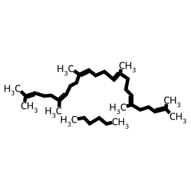 CC(C)=CCCC(C)=CCCC(C)=CCCC=C(C)CCC=C(C)CCC=C(C)C.CCCCCC